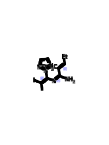 CC/C=C(C(=O)OCC)/C(N)=N\C(=C(/C)I)n1nccn1